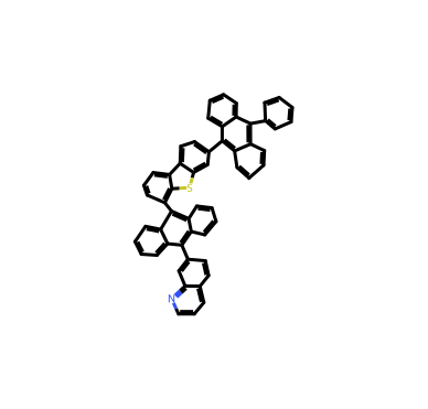 c1ccc(-c2c3ccccc3c(-c3ccc4c(c3)sc3c(-c5c6ccccc6c(-c6ccc7cccnc7c6)c6ccccc56)cccc34)c3ccccc23)cc1